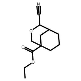 CCOC(=O)C12CCCC(C1)C(C#N)OC2